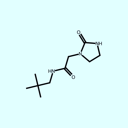 CC(C)(C)CNC(=O)CN1CCNC1=O